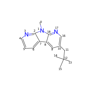 Cn1c2ncccc2c2cc(CC(C)(C)C)cnc21